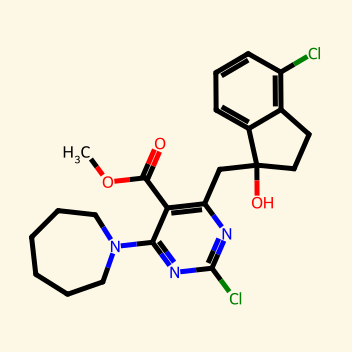 COC(=O)c1c(CC2(O)CCc3c(Cl)cccc32)nc(Cl)nc1N1CCCCCC1